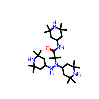 CC1(C)CC(NC(=O)C(C)(C)N(NC2CC(C)(C)NC(C)(C)C2)C2CC(C)(C)NC(C)(C)C2)CC(C)(C)N1